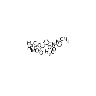 COC(=O)N(Cc1cccc(CC(OC(C)C)C(=O)O)c1)c1cccc(C)n1